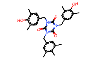 Cc1cc(Cn2c(=O)n(Cc3cc(C)c(O)c(C)c3)c(=O)n(Cc3cc(C)c(O)c(C)c3)c2=O)cc(C)c1C